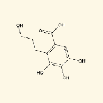 O=C(O)c1cc(O)c(O)c(O)c1CCCO